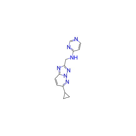 c1cc(NCc2nc3ccc(C4CC4)nn3n2)ncn1